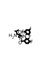 CC(C)C(N)C1(O)CN(C(=O)c2ccc(F)c(F)c2Nc2ccc(I)cc2F)C1